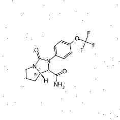 NC(=O)C1[C@@H]2C[CH]CN2C(=O)N1c1ccc(OC(F)(F)F)cc1